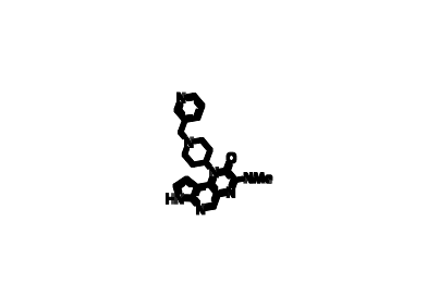 CNc1nc2cnc3[nH]ccc3c2n(C2CCN(Cc3cccnc3)CC2)c1=O